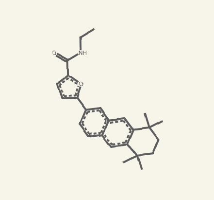 CCNC(=O)c1ccc(-c2ccc3cc4c(cc3c2)C(C)(C)CCC4(C)C)o1